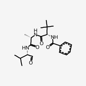 CC(C)[C@@H](C=O)NC(=O)[C@H](C)NC(=O)[C@@H](NC(=O)c1ccccc1)C(C)(C)C